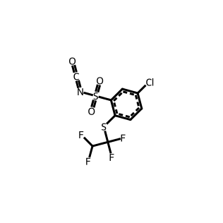 O=C=NS(=O)(=O)c1cc(Cl)ccc1SC(F)(F)C(F)F